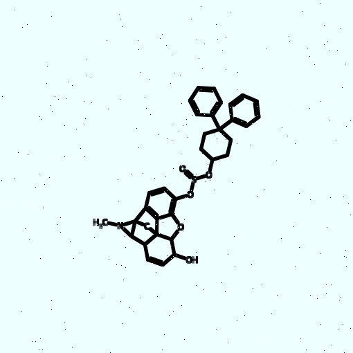 CN1C2C3C=CC(O)C4Oc5c(OS(=O)OC6CCC(c7ccccc7)(c7ccccc7)CC6)ccc6c5C34CC621